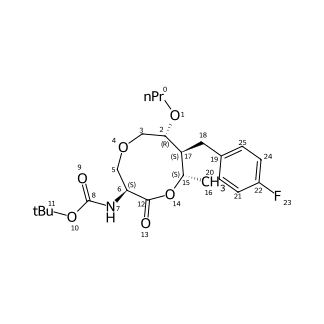 CCCO[C@H]1COC[C@H](NC(=O)OC(C)(C)C)C(=O)O[C@@H](C)[C@@H]1Cc1ccc(F)cc1